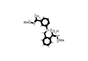 CON=C(C)c1cccc(OCc2ccccc2/C(=N\OC)C(=O)O)c1